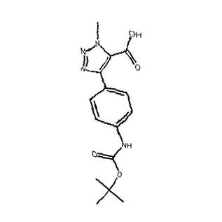 Cn1nnc(-c2ccc(NC(=O)OC(C)(C)C)cc2)c1C(=O)O